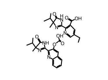 CC(C)C1(C)N=C(c2nc3ccccc3cc2OC(=O)O)NC1=O.CCc1cnc(C2=NC(C)(C(C)C)C(=O)N2)c(C(=O)O)c1